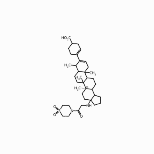 CC1C(C2=CCC(C(=O)O)CC2)=CCC2(C)C1CCC1(C)C2CCC2C3CCCC3(NCC(=O)N3CCS(=O)(=O)CC3)CC[C@]21C